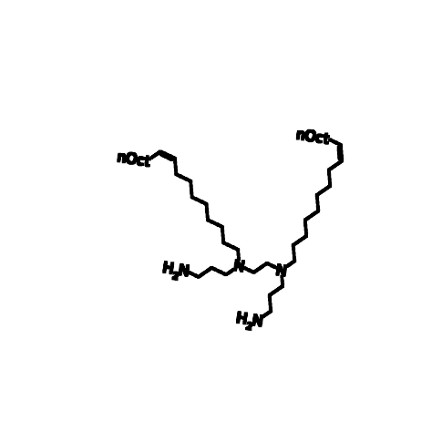 CCCCCCCC/C=C\CCCCCCCCN(CCCN)CCN(CCCN)CCCCCCCC/C=C\CCCCCCCC